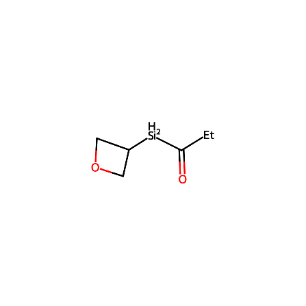 CCC(=O)[SiH2]C1COC1